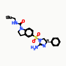 CC(C)(C)CNC(=O)N1CCc2cc(S(=O)(=O)N3C[C@H](c4ccccc4)N=C3N)ccc21